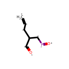 C=CCC(C=O)CP=O